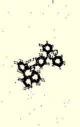 c1ccc2c(c1)Oc1ccccc1N2c1ccc(B2c3ccccc3-c3ccnc4cccc2c34)cc1